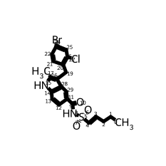 CCCC=CS(=O)(=O)NC(=O)c1ccc2[nH]c(C)c(Cc3ccc(Br)cc3Cl)c2c1